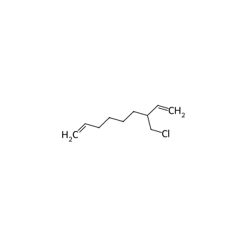 C=CCCCCC(C=C)CCl